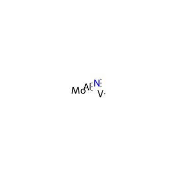 [Al].[Mo].[N].[V]